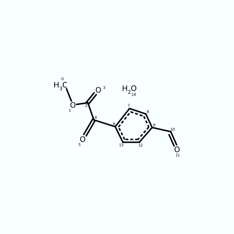 COC(=O)C(=O)c1ccc(C=O)cc1.O